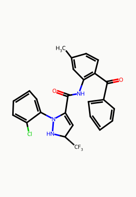 Cc1ccc(C(=O)c2ccccc2)c(NC(=O)C2=CC(C(F)(F)F)NN2c2ccccc2Cl)c1